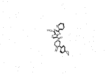 COc1ccc(C2CN(C(=O)c3csc4c(O)nc(C5=CCCC=N5)nc34)CCN2)cc1